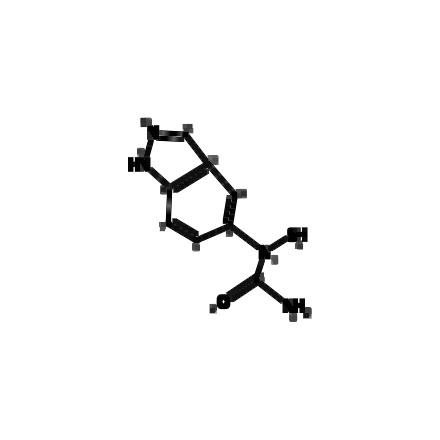 NC(=O)N(S)c1ccc2[nH]ncc2c1